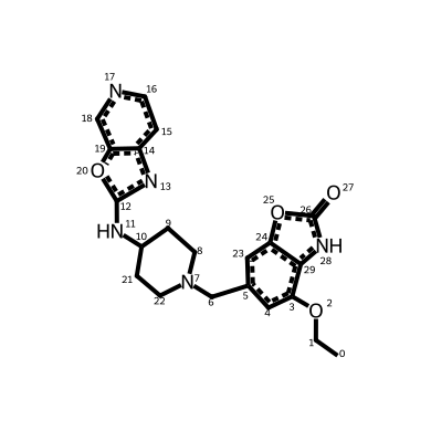 CCOc1cc(CN2CCC(Nc3nc4ccncc4o3)CC2)cc2oc(=O)[nH]c12